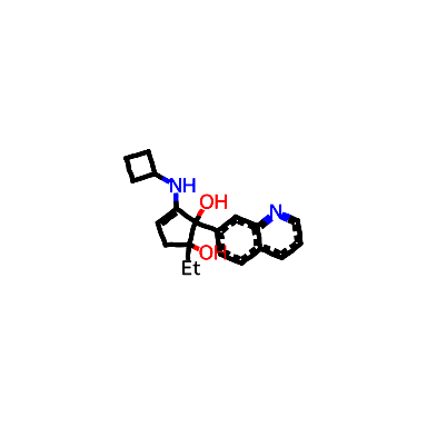 CCC1(O)CC=C(NC2CCC2)C1(O)c1ccc2cccnc2c1